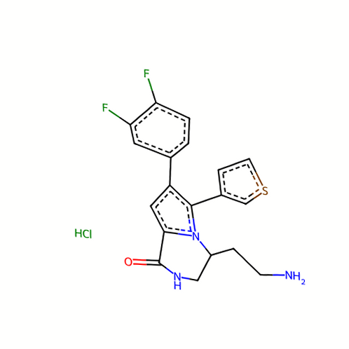 Cl.NCCC1CNC(=O)c2cc(-c3ccc(F)c(F)c3)c(-c3ccsc3)n21